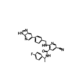 CC(NC(=O)c1cc(C#N)cnc1NCc1ccc(-c2cnc3[nH]cnc3c2)cc1)c1ccc(F)cc1